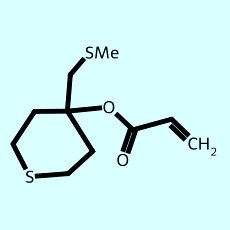 C=CC(=O)OC1(CSC)CCSCC1